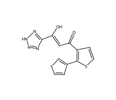 O=C(C=C(O)c1nn[nH]n1)c1ccsc1-c1ccsc1